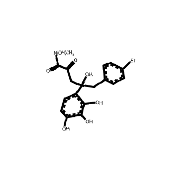 CCc1ccc(CC(O)(CC(=O)C(=O)N(C)O)c2ccc(O)c(O)c2O)cc1